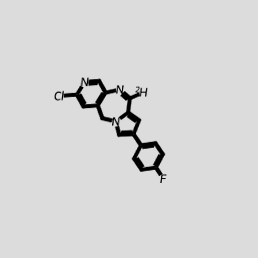 [2H]C1=Nc2cnc(Cl)cc2Cn2cc(-c3ccc(F)cc3)cc21